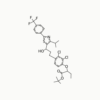 CCC(Oc1ccc(CCC(O)c2sc(-c3ccc(C(F)(F)F)cc3)nc2C(C)C)c(Cl)c1Cl)C(=O)OC(C)(C)C